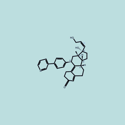 C[C@]12C[C@H](c3ccc(-c4cccnc4)cc3)C3=C4CCC(=O)C=C4CC[C@H]3[C@H]1CC[C@]2(O)/C=C\CO